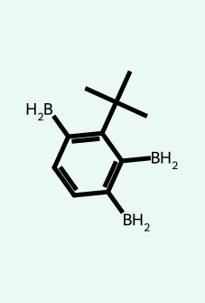 Bc1ccc(B)c(C(C)(C)C)c1B